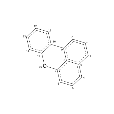 [c]1ccc2cccc3c2c1-c1ccccc1O3